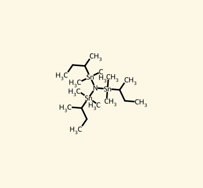 CC[CH](C)[Sn]([CH3])([CH3])[N]([Sn]([CH3])([CH3])[CH](C)CC)[Sn]([CH3])([CH3])[CH](C)CC